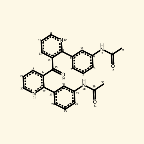 CC(=O)Nc1cccc(-c2ncccc2C(=O)c2cccnc2-c2cccc(NC(C)=O)c2)c1